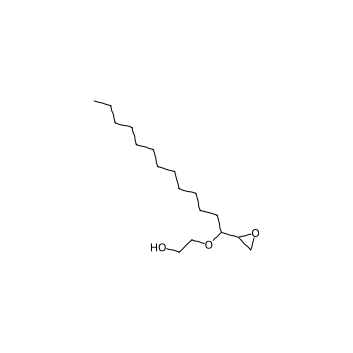 CCCCCCCCCCCCC(OCCO)C1CO1